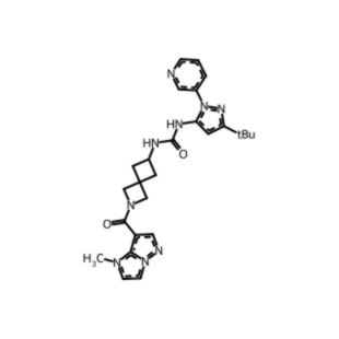 Cn1ccn2ncc(C(=O)N3CC4(CC(NC(=O)Nc5cc(C(C)(C)C)nn5-c5cccnc5)C4)C3)c12